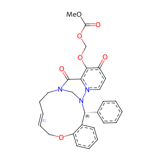 COC(=O)OCOc1c2n(ccc1=O)N1CN(CC/C=C/COc3ccccc3[C@H]1c1ccccc1)C2=O